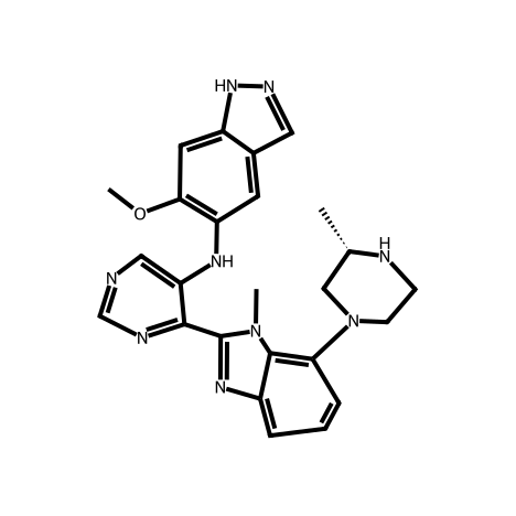 COc1cc2[nH]ncc2cc1Nc1cncnc1-c1nc2cccc(N3CCN[C@@H](C)C3)c2n1C